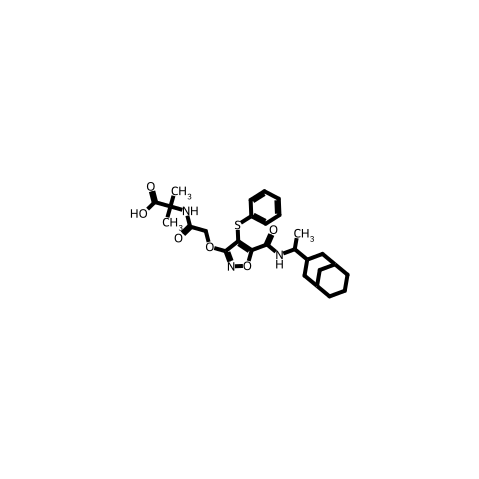 CC(NC(=O)c1onc(OCC(=O)NC(C)(C)C(=O)O)c1Sc1ccccc1)C1CC2CCCC(C2)C1